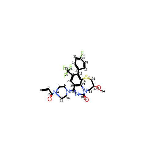 C=CC(=O)N1CCN(c2nc(=O)n3c4c(c(-c5ccc(F)cc5)c(C(F)(F)F)cc24)SC[C@@H](OC)C3)CC1